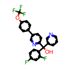 OC(c1cccnc1)(c1ccc(-c2ccc(OC(F)(F)F)cc2)cn1)c1ccc(F)cc1F